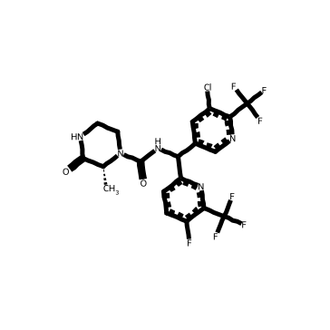 C[C@@H]1C(=O)NCCN1C(=O)NC(c1cnc(C(F)(F)F)c(Cl)c1)c1ccc(F)c(C(F)(F)F)n1